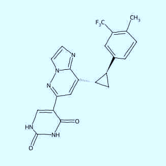 Cc1ccc([C@H]2C[C@@H]2c2cc(-c3c[nH]c(=O)[nH]c3=O)nn3ccnc23)cc1C(F)(F)F